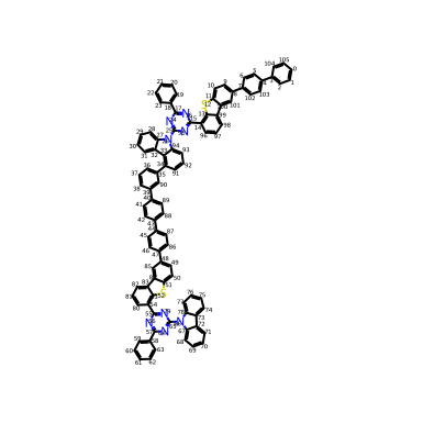 c1ccc(-c2ccc(-c3ccc4sc5c(-c6nc(-c7ccccc7)nc(-n7c8ccccc8c8c(-c9cccc(-c%10ccc(-c%11ccc(-c%12ccc%13sc%14c(-c%15nc(-c%16ccccc%16)nc(-n%16c%17ccccc%17c%17ccccc%17%16)n%15)cccc%14c%13c%12)cc%11)cc%10)c9)cccc87)n6)cccc5c4c3)cc2)cc1